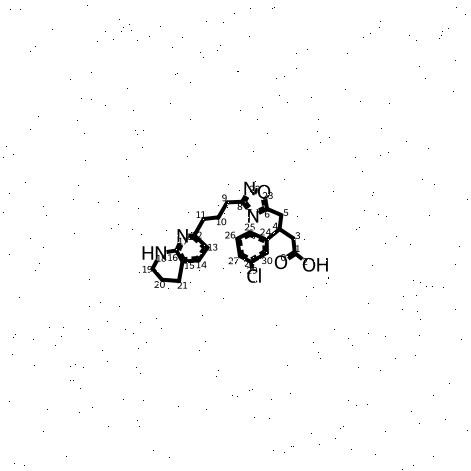 O=C(O)CC(Cc1nc(CCCc2ccc3c(n2)NCCC3)no1)c1cccc(Cl)c1